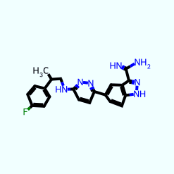 CC(CNc1ccc(-c2ccc3[nH]nc(C(=N)N)c3c2)nn1)c1ccc(F)cc1